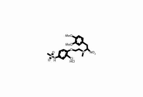 COc1ccc(CC(N(C)CCOc2ccc(NS(C)(=O)=O)cc2Cl)[N+](=O)[O-])cc1OC.Cl